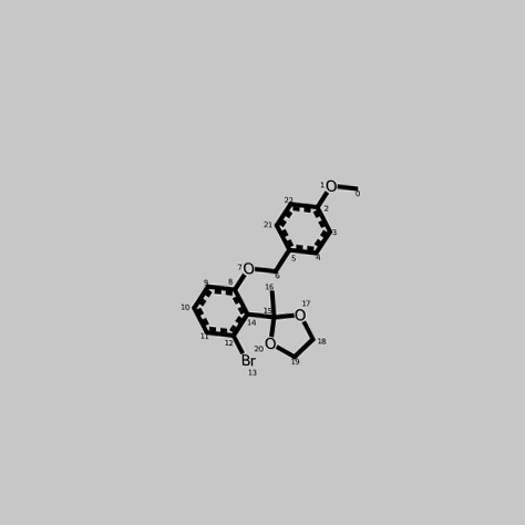 COc1ccc(COc2cccc(Br)c2C2(C)OCCO2)cc1